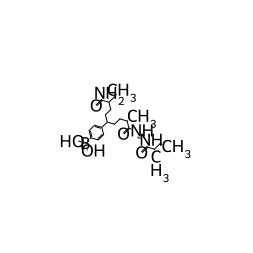 CCC(C)C(=O)NCNC(=O)C(C)CCC(CCC(CC)C(N)=O)c1ccc(B(O)O)cc1